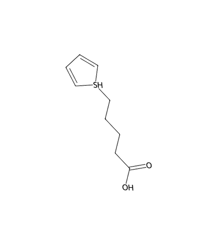 O=C(O)CCCC[SH]1C=CC=C1